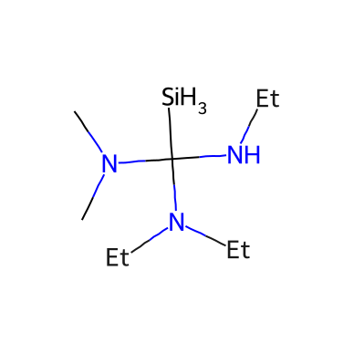 CCNC([SiH3])(N(C)C)N(CC)CC